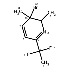 CC1N=C(C(C)(F)F)C=CC1(C)Br